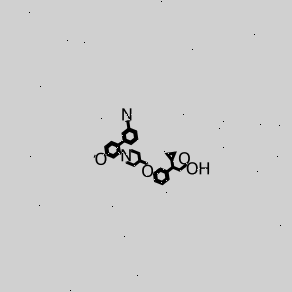 COc1ccc(-c2cccc(C#N)c2)c(N2CCC(COc3cccc(C(CC(=O)O)C4CC4)c3)CC2)c1